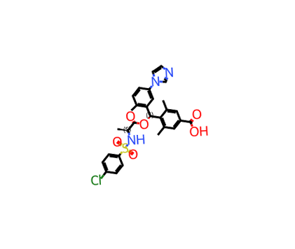 Cc1ccc(-n2ccnc2)cc1[C@H](OC(=O)[C@H](C)NS(=O)(=O)c1ccc(Cl)cc1)c1c(C)cc(C(=O)O)cc1C